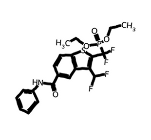 CCOP(=O)(OCC)C(F)(F)c1sc2ccc(C(=O)Nc3ccccc3)cc2c1C(F)F